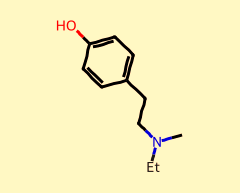 CCN(C)CCc1ccc(O)cc1